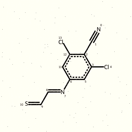 N#Cc1c(Cl)cc(N=CC=S)cc1Cl